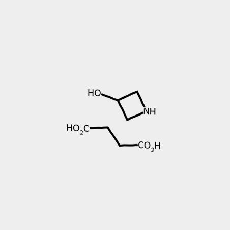 O=C(O)CCC(=O)O.OC1CNC1